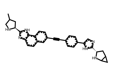 CC1CN[C@H](c2nc3ccc4cc(C#Cc5ccc(-c6cnc([C@@H]7CC8CC8N7)[nH]6)cc5)ccc4c3[nH]2)C1